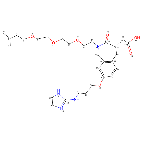 CC(C)CCOCCOCCOCCN1Cc2cc(OCCCNC3=NCCN3)ccc2C[C@@H](CC(=O)O)C1=O